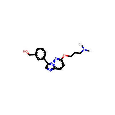 CCN(CC)CCCOc1ccc2ncc(-c3cccc(CO)c3)n2n1